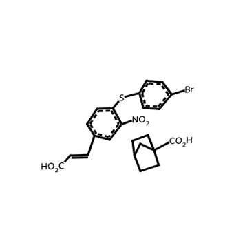 O=C(O)C12CCC(CC1)C2.O=C(O)C=Cc1ccc(Sc2ccc(Br)cc2)c([N+](=O)[O-])c1